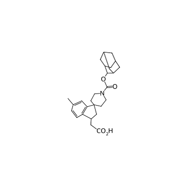 Cc1ccc2c(c1)C1(CCN(C(=O)OC3C4CC5CC(C4)CC3C5)CC1)CC2CC(=O)O